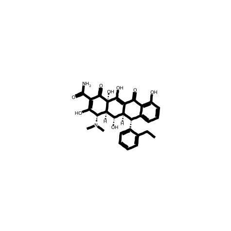 CCc1ccccc1[C@H]1c2cccc(O)c2C(=O)C2=C(O)[C@]3(O)C(=O)C(C(N)=O)=C(O)[C@@H](N(C)C)[C@@H]3[C@@H](O)[C@@H]21